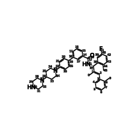 C/C(=C\c1ccccc1C)[C@H](NC(=O)c1cccc(-c2ccc(N3CCC(N4CCNCC4)CC3)cc2)c1)c1cc(F)ccc1C